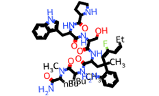 CC/C=C\C(F)=C/C(C)(CC(NC(=O)C(CO)NC(=O)C(Cc1c[nH]c2ccccc12)NC(=O)C1CCCN1)C(=O)N(C)C(CCCC)C(=O)N(C)C(CCCC)C(N)=O)c1ccccc1N